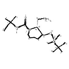 CC(C)(C)OC(=O)N1CCC(O[Si](C)(C)C(C)(C)C)[C@H]1CN